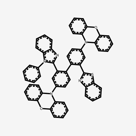 c1ccc(-n2c(-c3cc(N4c5ccccc5Oc5ccccc54)ccc3-c3ccc(N4c5ccccc5Oc5ccccc54)cc3-c3nc4ccccc4s3)nc3ccccc32)cc1